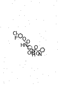 O=C(COc1ccc(Cl)c(F)c1)NC12CCC(NC(=O)c3onc4ccccc34)(CC1)C(O)C2